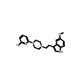 COc1ccc2[nH]cc(CCN3CCN(c4cccc(Cl)n4)CC3)c2c1